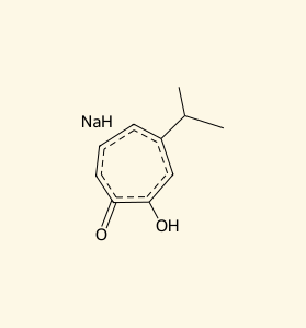 CC(C)c1cccc(=O)c(O)c1.[NaH]